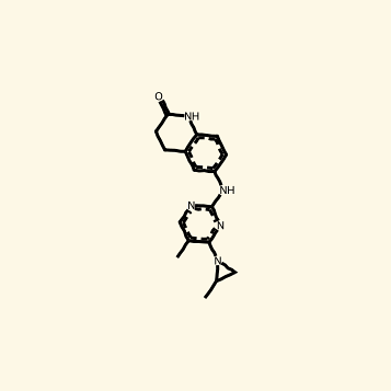 Cc1cnc(Nc2ccc3c(c2)CCC(=O)N3)nc1N1CC1C